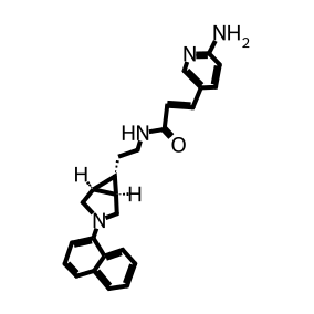 Nc1ccc(/C=C/C(=O)NCC[C@@H]2[C@H]3CN(c4cccc5ccccc45)C[C@@H]23)cn1